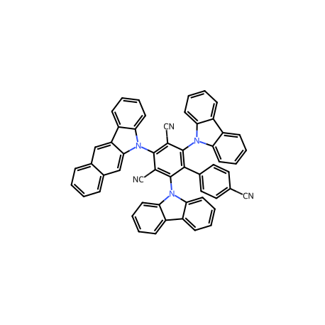 N#Cc1ccc(-c2c(-n3c4ccccc4c4ccccc43)c(C#N)c(-n3c4ccccc4c4cc5ccccc5cc43)c(C#N)c2-n2c3ccccc3c3ccccc32)cc1